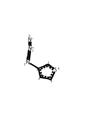 [N-]=[N+]=Nc1ccsc1